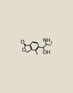 Cc1c(C(O)C(C)N)ccc2c1COC2=O